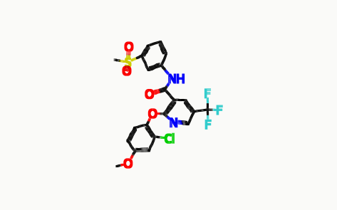 COc1ccc(Oc2ncc(C(F)(F)F)cc2C(=O)Nc2cccc(S(C)(=O)=O)c2)c(Cl)c1